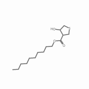 CCCCCCCCCCOC(=O)C1CSCC1O